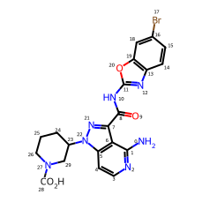 Nc1nccc2c1c(C(=O)Nc1nc3ccc(Br)cc3o1)nn2C1CCCN(C(=O)O)C1